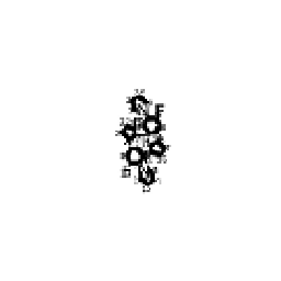 Fc1cc[c]([Ti]([c]2ccc(F)c(-n3cccc3)c2F)([CH]2C=CC=C2)[CH]2C=CC=C2)c(F)c1-n1cccc1